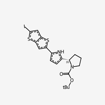 CC(C)(C)OC(=O)N1CCC[C@H]1c1ccc(-c2cc3sc(I)cc3s2)[nH]1